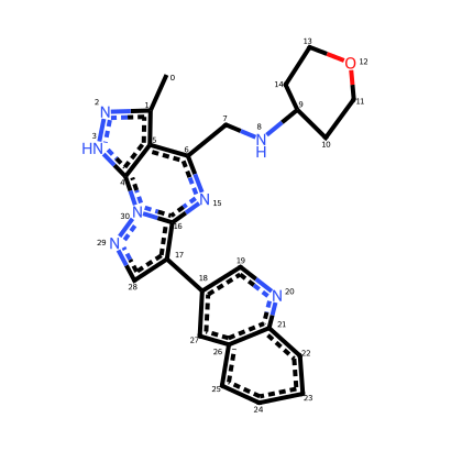 Cc1n[nH]c2c1c(CNC1CCOCC1)nc1c(-c3cnc4ccccc4c3)cnn12